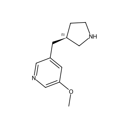 COc1cncc(C[C@H]2CCNC2)c1